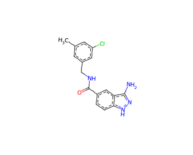 Cc1cc(Cl)cc(CNC(=O)c2ccc3[nH]nc(N)c3c2)c1